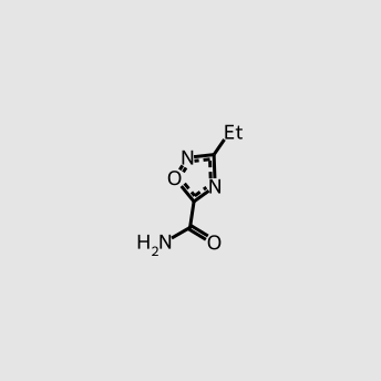 CCc1noc(C(N)=O)n1